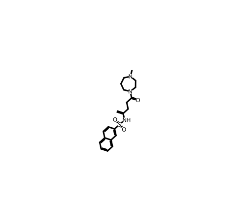 C=C(CCC(=O)N1CCCN(C)CC1)NS(=O)(=O)c1ccc2ccccc2c1